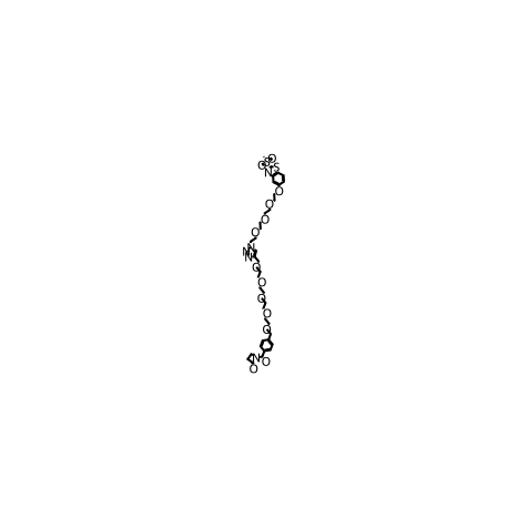 CS(=O)(=O)c1nc2cc(OCCOCCOCCOCCn3cc(COCCOCCOCCOCCOCc4ccc(C(=O)N5CCC5=O)cc4)nn3)ccc2s1